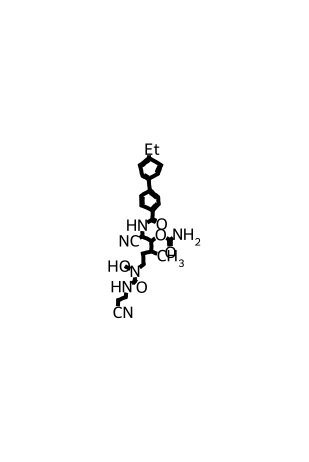 CCc1ccc(-c2ccc(C(=O)NC(C#N)C(OC(N)=O)C(C)CCN(O)C(=O)NCCC#N)cc2)cc1